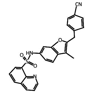 Cc1c(Cc2ccc(C#N)cc2)oc2cc(NS(=O)(=O)c3cccc4cccnc34)ccc12